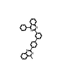 Cc1nc(-c2ccc(-c3cccc(-c4nc(-c5ccccc5)c5ccccc5n4)c3)cc2)nc2ccccc12